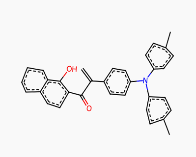 C=C(C(=O)c1ccc2ccccc2c1O)c1ccc(N(c2ccc(C)cc2)c2ccc(C)cc2)cc1